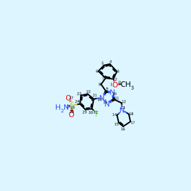 COc1ccccc1Cc1nc(CN2CC=CCC2)nn1-c1ccc(S(N)(=O)=O)cc1F